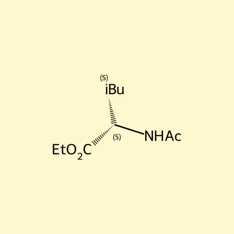 CCOC(=O)[C@@H](NC(C)=O)[C@@H](C)CC